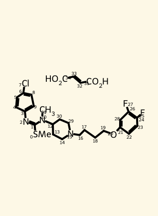 CSC(=Nc1ccc(Cl)cc1)N(C)C1CCN(CCCCOc2ccc(F)c(F)c2)CC1.O=C(O)C=CC(=O)O